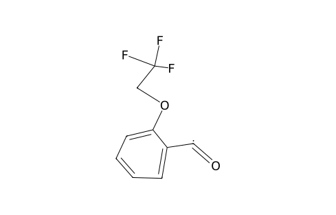 O=[C]c1ccccc1OCC(F)(F)F